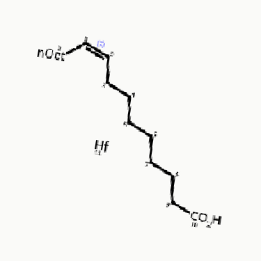 CCCCCCCC/C=C\CCCCCCCC(=O)O.[Hf]